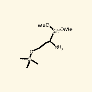 CO[SiH](OC)C(N)CCO[Si](C)(C)C